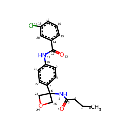 CCCC(=O)NC1(c2ccc(NC(=O)c3cccc(Cl)c3)cc2)COC1